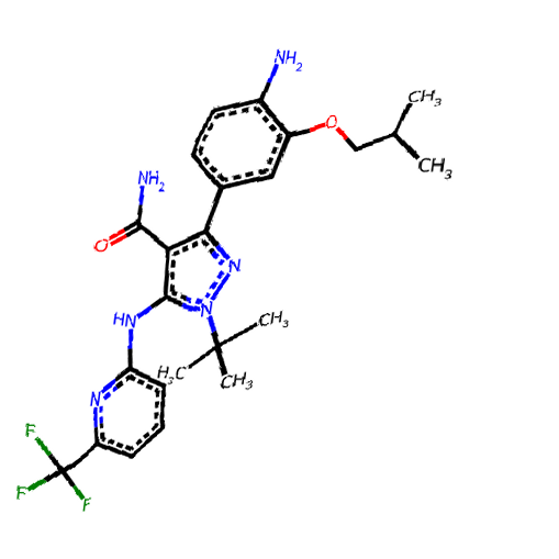 CC(C)COc1cc(-c2nn(C(C)(C)C)c(Nc3cccc(C(F)(F)F)n3)c2C(N)=O)ccc1N